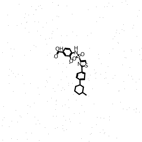 COc1cc(C(=O)O)ccc1NS(=O)(=O)c1csc(-c2ccc(C3CCCC(C)C3)cc2)n1